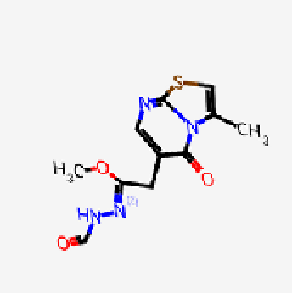 CO/C(Cc1cnc2scc(C)n2c1=O)=N\NC=O